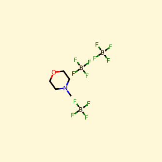 CN1CCOCC1.F[B-](F)(F)F.F[B-](F)(F)F.F[B-](F)(F)F